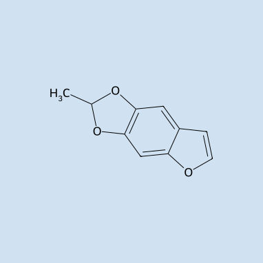 CC1Oc2cc3ccoc3cc2O1